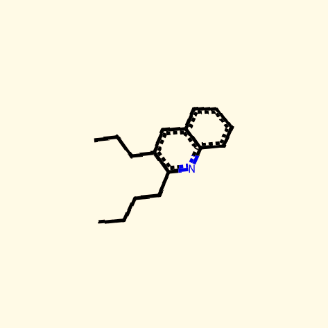 CCCCc1nc2ccccc2cc1CCC